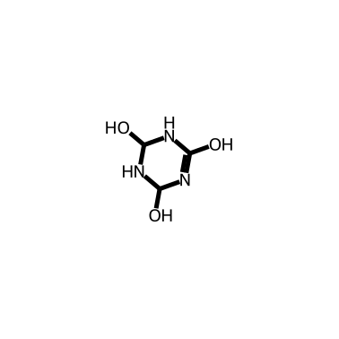 OC1=NC(O)NC(O)N1